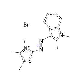 Cc1sc(/N=N/c2c(C)n(C)c3ccccc23)[n+](C)c1C.[Br-]